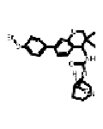 CCOc1ccc(-c2ccc3c(c2)OCC(C)(C)C3NC(=O)O[C@H]2CN3CCC2CC3)cc1